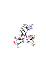 NC(CS)C(=O)O.NC(Cc1cc(I)c(Oc2cc(I)c(O)c(I)c2)c(I)c1)C(=O)O